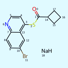 O=C(Sc1ccnc2ccc(Br)cc12)C1CCC1.[NaH]